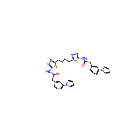 O=C(Cc1cccc(-n2cccc2)c1)Nc1nnc(CCCCc2nnc(NC(=O)Cc3cccc(-n4cccc4)c3)s2)s1